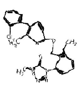 Cc1cccc(-n2nnn(C)c2=O)c1COc1ccc(-c2ccccc2C(F)(F)F)c(C)n1